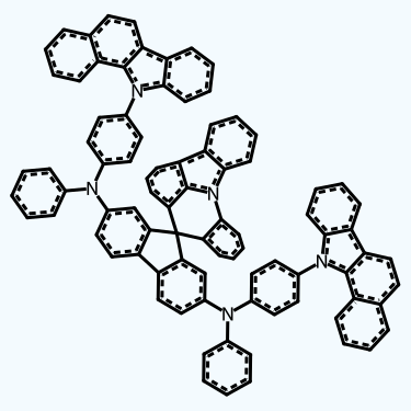 c1ccc(N(c2ccc(-n3c4ccccc4c4ccc5ccccc5c43)cc2)c2ccc3c(c2)C2(c4cc(N(c5ccccc5)c5ccc(-n6c7ccccc7c7ccc8ccccc8c76)cc5)ccc4-3)c3ccccc3-n3c4ccccc4c4cccc2c43)cc1